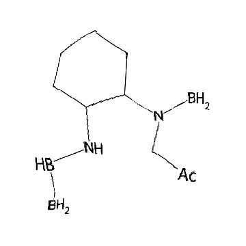 BBNC1CCCCC1N(B)CC(C)=O